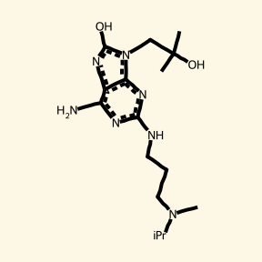 CC(C)N(C)CCCNc1nc(N)c2nc(O)n(CC(C)(C)O)c2n1